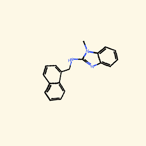 Cn1c(NCc2cccc3ccccc23)nc2ccccc21